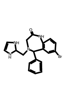 O=C1CN(CC2NC=CN2)C(c2ccccc2)c2cc(Br)ccc2N1